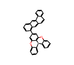 c1ccc2c(c1)Oc1cc(-c3cccc4cc5c(ccc6ccccc65)cc34)cc3c1B2c1ccccc1O3